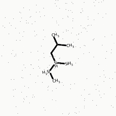 C[SiH2][SiH]([SiH3])CC(C)C